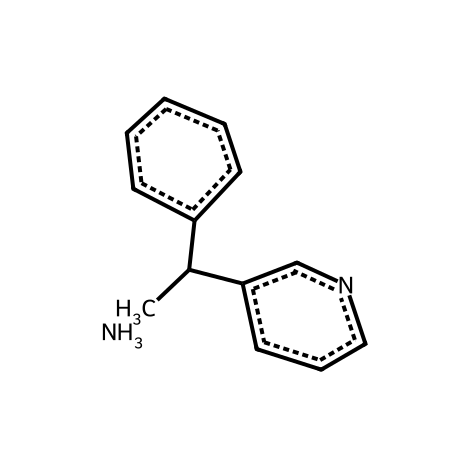 CC(c1ccccc1)c1cccnc1.N